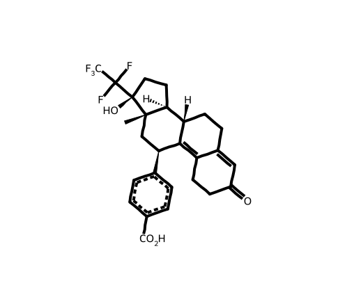 C[C@]12C[C@H](c3ccc(C(=O)O)cc3)C3=C4CCC(=O)C=C4CC[C@H]3[C@@H]1CC[C@@]2(O)C(F)(F)C(F)(F)F